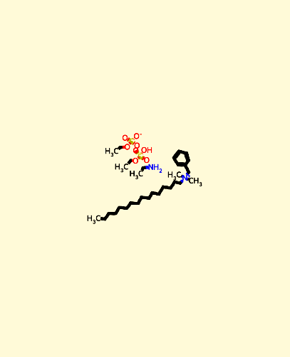 CCCCCCCCCCCCCCCC[N+](C)(C)Cc1ccccc1.CCN.CCOS(=O)(=O)O.CCOS(=O)(=O)[O-]